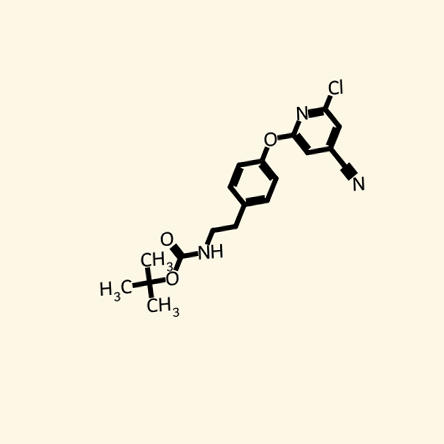 CC(C)(C)OC(=O)NCCc1ccc(Oc2cc(C#N)cc(Cl)n2)cc1